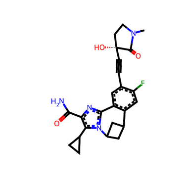 CN1CC[C@](O)(C#Cc2cc3c(cc2F)C2CC(C2)n2c-3nc(C(N)=O)c2C2CC2)C1=O